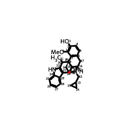 COc1c(O)ccc2c1[C@]13CCN(CC4CC4)[C@H](C2)[C@]1(O)Cc1c([nH]c2ccccc12)C3C